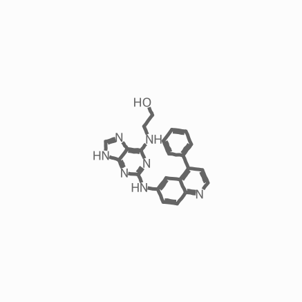 OCCNc1nc(Nc2ccc3nccc(-c4ccccc4)c3c2)nc2[nH]cnc12